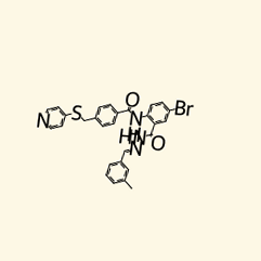 Cc1cccc(C=NNC(=O)c2cc(Br)ccc2NC(=O)c2ccc(CSc3ccncc3)cc2)c1